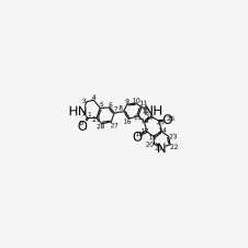 O=C1NCCc2cc(-c3ccc4[nH]c5c(c4c3)C(=O)c3cnccc3C5=O)ccc21